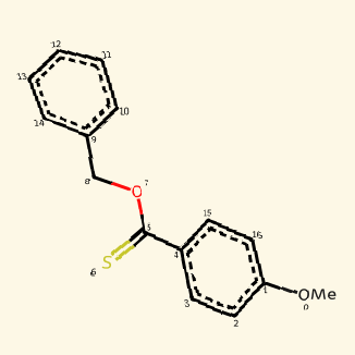 COc1ccc(C(=S)OCc2ccccc2)cc1